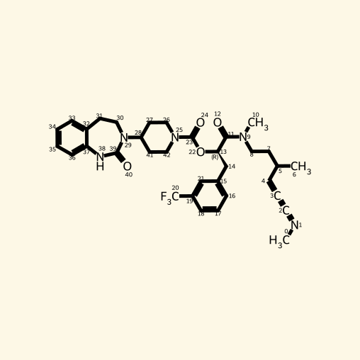 CN=C=C=CC(C)CCN(C)C(=O)[C@@H](Cc1cccc(C(F)(F)F)c1)OC(=O)N1CCC(N2CCc3ccccc3NC2=O)CC1